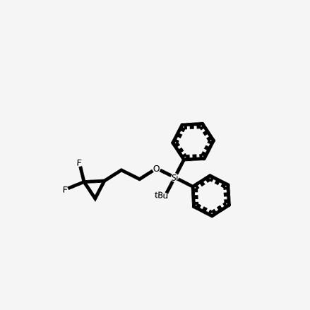 CC(C)(C)[Si](OCCC1CC1(F)F)(c1ccccc1)c1ccccc1